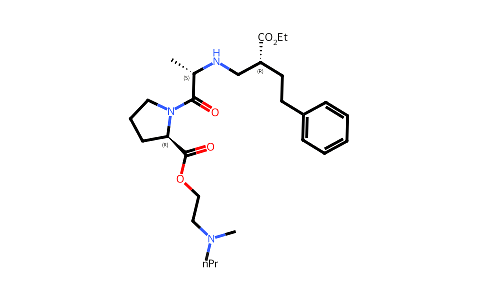 CCCN(C)CCOC(=O)[C@H]1CCCN1C(=O)[C@H](C)NC[C@@H](CCc1ccccc1)C(=O)OCC